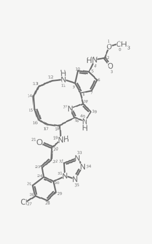 COC(=O)Nc1ccc2c(c1)NCCCC=CCC(NC(=O)C=Cc1cc(Cl)ccc1-n1cnnn1)c1nc-2c[nH]1